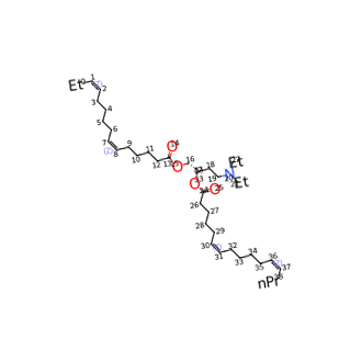 CC/C=C\CCCC/C=C\CCCCC(=O)OC[C@H](CCN(CC)CC)OC(=O)CCCC/C=C\CCCC/C=C\CCC